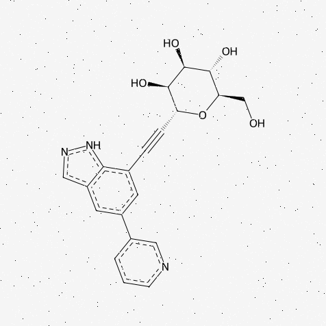 OC[C@H]1O[C@H](C#Cc2cc(-c3cccnc3)cc3cn[nH]c23)[C@@H](O)[C@@H](O)[C@@H]1O